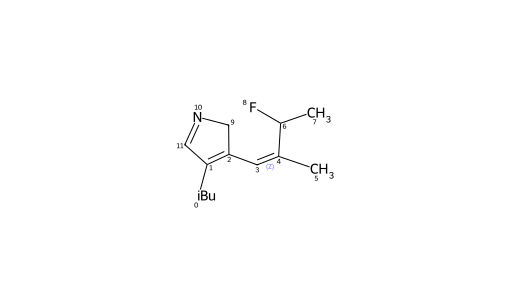 CCC(C)C1=C(/C=C(/C)C(C)F)CN=C1